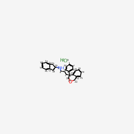 Cl.c1ccc(C2(CCCNC3Cc4ccccc4C3)COCc3ccccc32)cc1